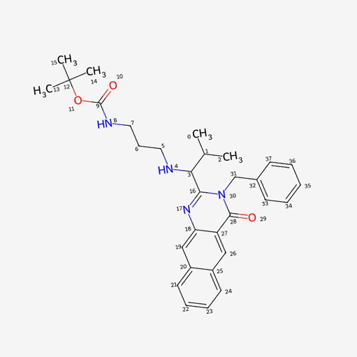 CC(C)C(NCCCNC(=O)OC(C)(C)C)c1nc2cc3ccccc3cc2c(=O)n1Cc1ccccc1